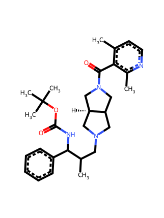 Cc1ccnc(C)c1C(=O)N1CC2CN(CC(C)C(NC(=O)OC(C)(C)C)c3ccccc3)C[C@H]2C1